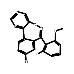 COc1cccc(F)c1C1=NCc2cncnc2-c2ccc(Cl)cc21